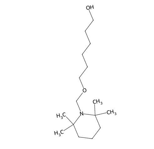 CC1(C)CCCC(C)(C)N1COCCCCCCO